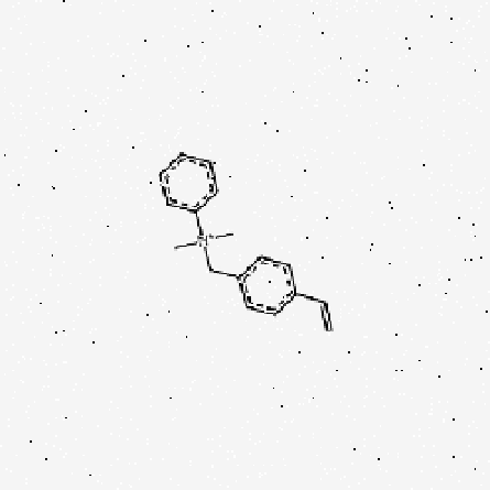 C=Cc1ccc(C[N+](C)(C)c2ccccc2)cc1